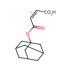 O=C(O)/C=C\C(=O)OC12CC3CC(CC(C3)C1)C2